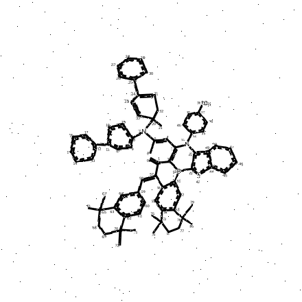 C=C1C2=C(/C=C(\C)N(c3ccc(-c4ccccc4)cc3)C3(C)C=CC(c4ccccc4)=CC3)N(c3ccc(C(C)(C)C)cc3)c3c(sc4ccccc34)B2c2cc3c(cc2/C1=C\c1ccc2c(c1)C(C)(C)CCC2(C)C)C(C)(C)CCC3(C)C